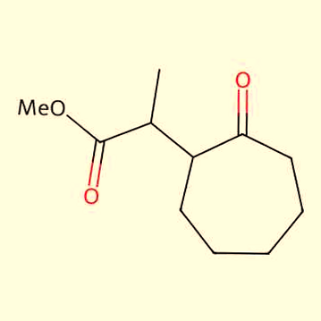 COC(=O)C(C)C1CCCCCC1=O